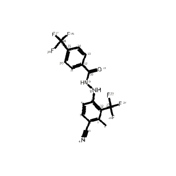 Cc1c(C#N)ccc(NNC(=O)c2ccc(C(F)(F)F)cc2)c1C(F)(F)F